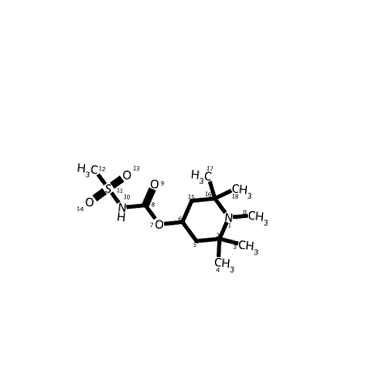 CN1C(C)(C)CC(OC(=O)NS(C)(=O)=O)CC1(C)C